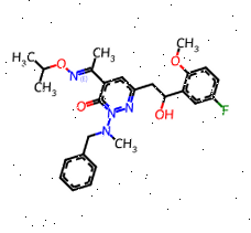 COc1ccc(F)cc1C(O)Cc1cc(/C(C)=N/OC(C)C)c(=O)n(N(C)Cc2ccccc2)n1